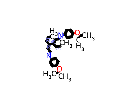 C\C=C/C(=C/C=N/c1ccc(OC(C)C)cc1)C(/C=C\C)=C/C=N/c1ccc(OC(C)C)cc1